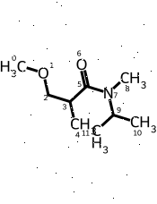 COCC(C)C(=O)N(C)C(C)C